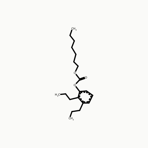 CCCCCCCOC(=O)Oc1cccc(CCC)c1CCC